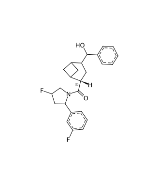 O=C([C@H]1CC(C(O)c2ccccc2)C2CC1C2)N1CC(F)CC1c1cccc(F)c1